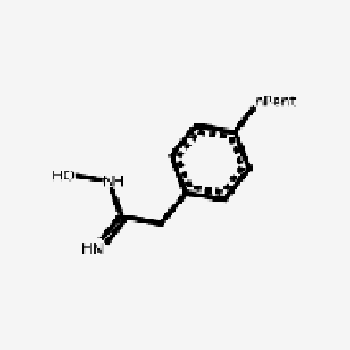 CCCCCc1ccc(CC(=N)NO)cc1